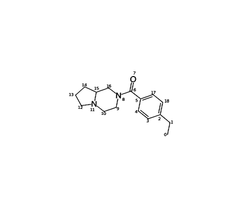 CCc1ccc(C(=O)N2CCN3CCCC3C2)cc1